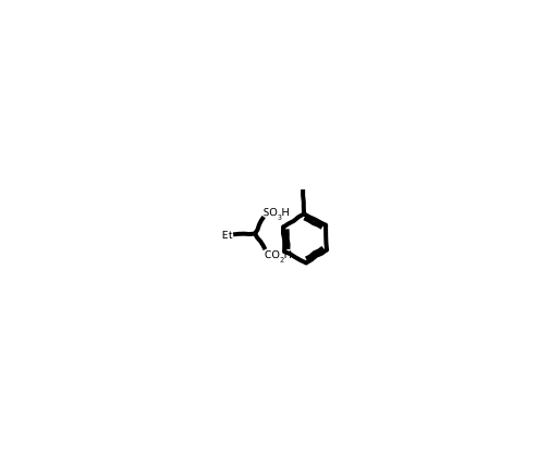 CCC(C(=O)O)S(=O)(=O)O.Cc1ccccc1